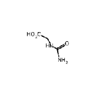 NC(=O)NCC(=O)O